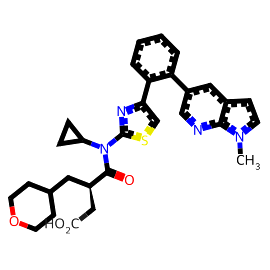 Cn1ccc2cc(-c3ccccc3-c3csc(N(C(=O)[C@@H](CC(=O)O)CC4CCOCC4)C4CC4)n3)cnc21